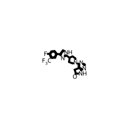 O=C1Cc2c(ncnc2N2CCC(c3nc(-c4ccc(F)c(C(F)(F)F)c4)c[nH]3)CC2)N1